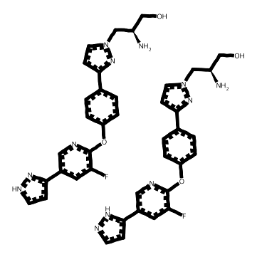 N[C@H](CO)Cn1ccc(-c2ccc(Oc3ncc(-c4cc[nH]n4)cc3F)cc2)n1.N[C@H](CO)Cn1ccc(-c2ccc(Oc3ncc(-c4ccn[nH]4)cc3F)cc2)n1